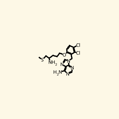 CSCC(N)CCCOc1ccc(Cl)c(Cl)c1Cn1cnc2c(N)ncnc21